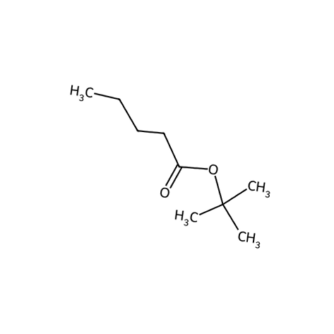 CCCCC(=O)OC(C)(C)C